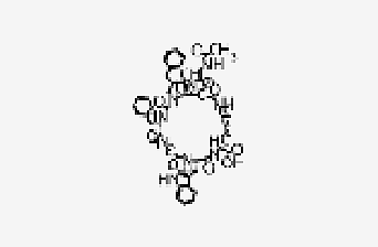 CCC(Cc1ccccc1)CN1C(=O)NC(Cc2ccccc2)C(=O)NCC(=O)N[C@@H](Cc2c[nH]c3ccccc23)C(=O)NC(C(=O)O)CCCCNC(=O)CC(NC(=O)CNC(C)=O)C1=O